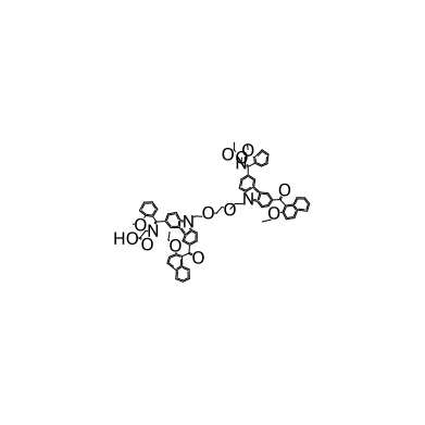 CCOc1ccc2ccccc2c1C(=O)c1ccc2c(c1)c1cc(C(=NCC(=O)O)c3ccccc3OC)ccc1n2CCOCCOCCn1c2ccc(C(=O)c3c(OCC)ccc4ccccc34)cc2c2cc(C(=NOC(C)=O)c3ccccc3OC)ccc21